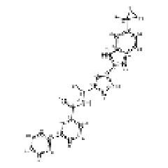 CC(NC(=O)c1cc(-c2cccnc2)ncn1)c1cc(-c2nc3ccc(C4(C)CC4)nc3[nH]2)no1